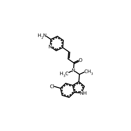 CC(c1c[nH]c2ccc(Cl)cc12)N(C)C(=O)C=Cc1ccc(N)nc1